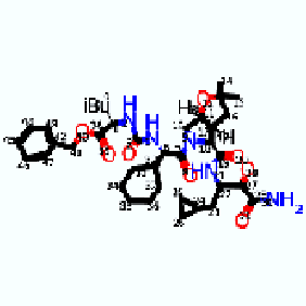 CCC(C)[C@H](NC(=O)N[C@H](C(=O)N1C[C@@H]2OC(C)(C)C[C@@H]2[C@H]1C(=O)NC(CC1CC1)C(=O)C(N)=O)C1CCCCC1)C(=O)OCc1ccccc1